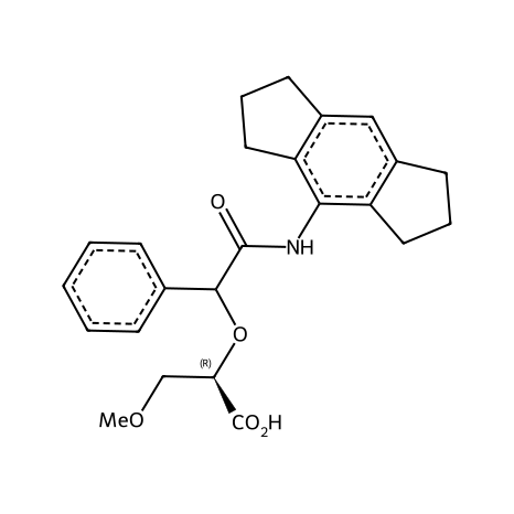 COC[C@@H](OC(C(=O)Nc1c2c(cc3c1CCC3)CCC2)c1ccccc1)C(=O)O